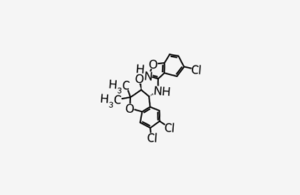 CC1(C)Oc2cc(Cl)c(Cl)cc2[C@@H](Nc2noc3ccc(Cl)cc23)[C@@H]1O